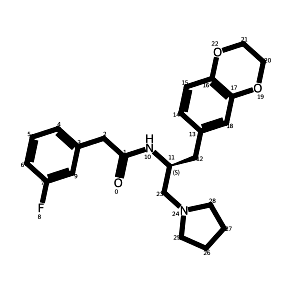 O=C(Cc1cccc(F)c1)N[C@@H](Cc1ccc2c(c1)OCCO2)CN1CCCC1